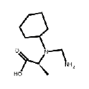 C[C@@H](C(=O)O)N(CN)C1CCCCC1